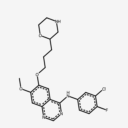 COc1cc2ncnc(Nc3ccc(F)c(Cl)c3)c2cc1OCCCC1CNCCO1